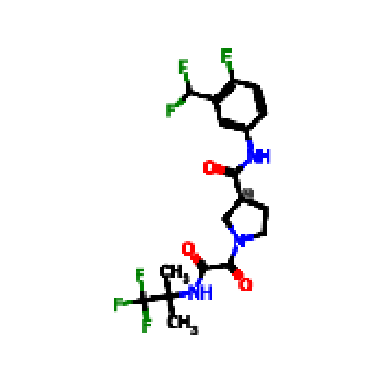 CC(C)(NC(=O)C(=O)N1CC[C@H](C(=O)Nc2ccc(F)c(C(F)F)c2)C1)C(F)(F)F